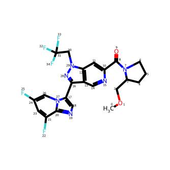 COCC1CCCN1C(=O)c1cc2c(cn1)c(-c1cnc3c(F)cc(F)cn13)nn2CC(F)(F)F